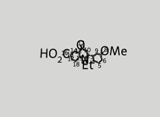 CCn1c(-c2cccc(OC)c2)cc(=O)c2cc(C(=O)O)ccc21